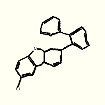 Clc1ccc2c(c1)C1C=CC(c3ccccc3-c3ccccc3)CC1O2